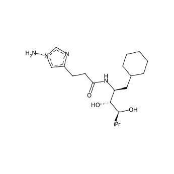 CC(C)[C@H](O)[C@H](O)[C@H](CC1CCCCC1)NC(=O)CCc1cn(N)cn1